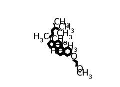 CC[C@H](CCC(C)[C@H]1CC[C@H]2[C@@H]3CC=C4CC(OCCCOC)CC[C@]4(C)[C@H]3CC[C@]12C)C(C)C